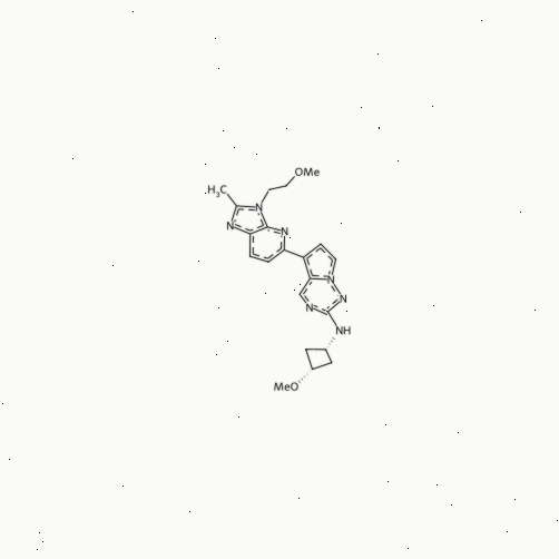 COCCn1c(C)nc2ccc(-c3ccn4nc(N[C@H]5C[C@@H](OC)C5)ncc34)nc21